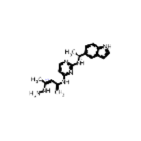 C=C(/C=C(/C)NN)Nc1ccnc(N[C@@H](C)c2ccc3[nH]ccc3c2)n1